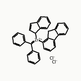 C1=C[CH]([Zr+2](=[C](c2ccccc2)c2ccccc2)[c]2cccc3c2Cc2ccccc2-3)c2ccccc21.[Cl-].[Cl-]